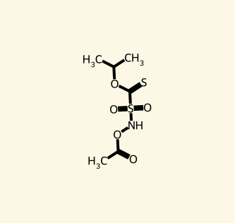 CC(=O)ONS(=O)(=O)C(=S)OC(C)C